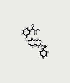 CNC(=O)c1cc(Oc2ccc3nc(Nc4ccccc4)ncc3c2)ccn1